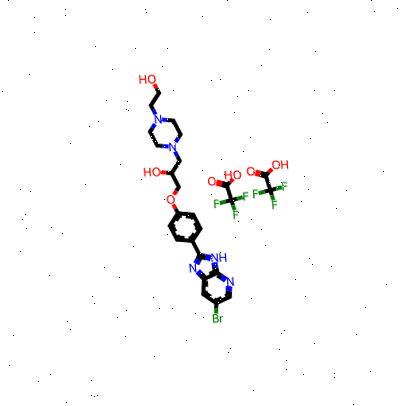 O=C(O)C(F)(F)F.O=C(O)C(F)(F)F.OCCN1CCN(CC(O)COc2ccc(-c3nc4cc(Br)cnc4[nH]3)cc2)CC1